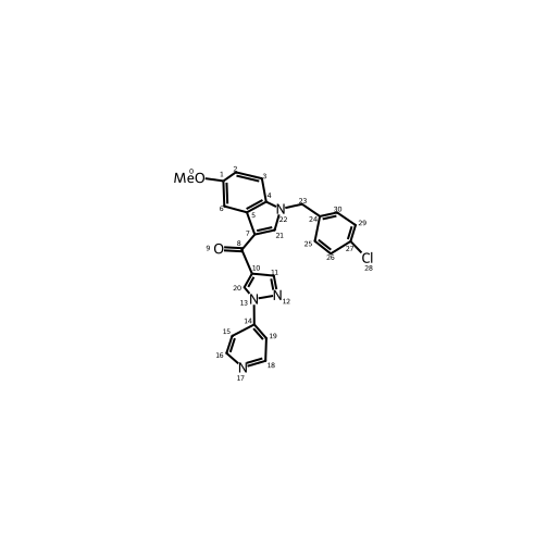 COc1ccc2c(c1)c(C(=O)c1cnn(-c3ccncc3)c1)cn2Cc1ccc(Cl)cc1